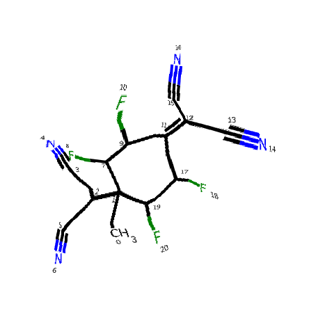 CC1(C(C#N)C#N)C(F)C(F)C(=C(C#N)C#N)C(F)C1F